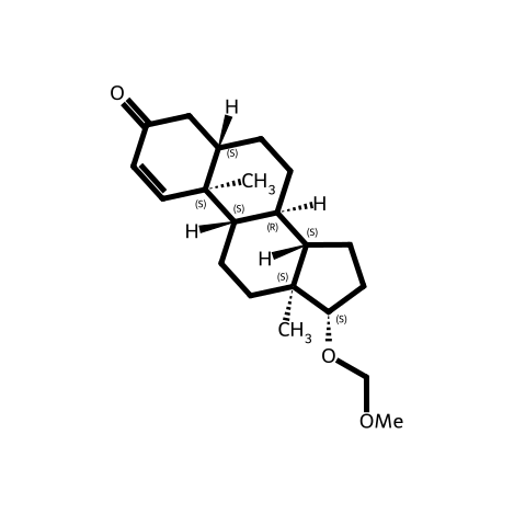 COCO[C@H]1CC[C@H]2[C@@H]3CC[C@H]4CC(=O)C=C[C@]4(C)[C@H]3CC[C@]12C